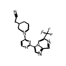 N#CCC1CCCN(c2ccnc(-c3cnc4cnc(C(F)(F)F)cn34)n2)C1